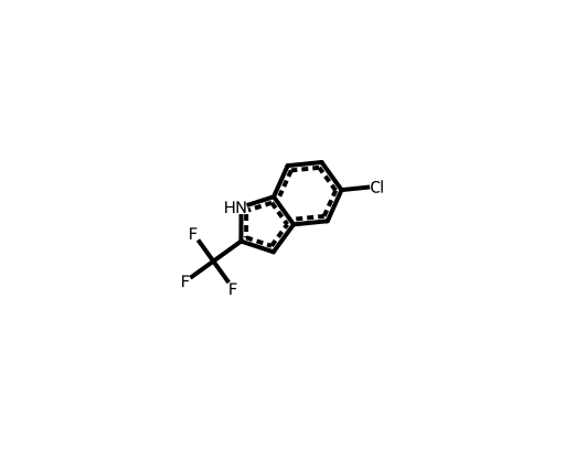 FC(F)(F)c1cc2cc(Cl)ccc2[nH]1